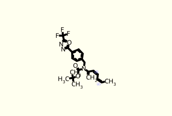 C=C(/C=C\C=C/C)N(Cc1ccc(-c2nnc(C(F)(F)F)o2)cc1)C(=O)OC(C)(C)C